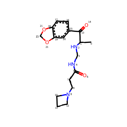 CC(NCNC(=O)CCN1CCC1)C(=O)c1ccc2c(c1)OCO2